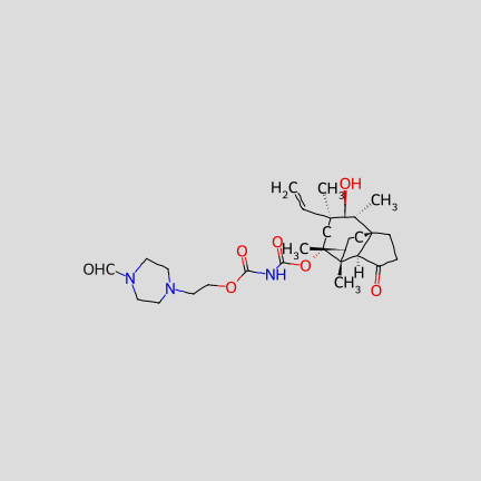 C=C[C@]1(C)C[C@@H](OC(=O)NC(=O)OCCN2CCN(C=O)CC2)[C@]2(C)[C@H](C)CC[C@]3(CCC(=O)[C@H]32)[C@@H](C)[C@@H]1O